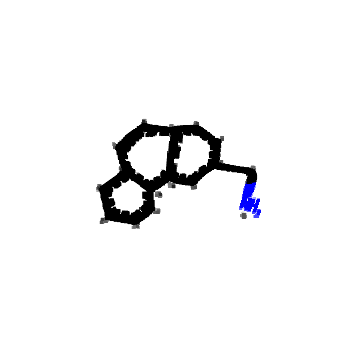 NCc1ccc2ccc3ccccc3c2c1